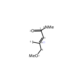 CNC(=O)/C=C(\I)COC